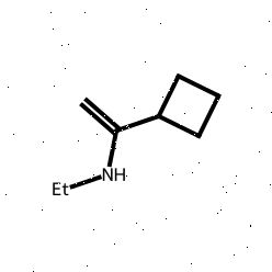 C=C(NCC)C1CCC1